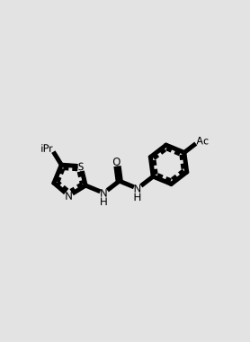 CC(=O)c1ccc(NC(=O)Nc2ncc(C(C)C)s2)cc1